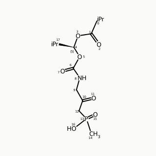 CC(C)C(=O)O[C@@H](OC(=O)NCC(=O)CP(C)(=O)O)C(C)C